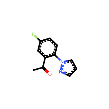 CC(=O)c1cc(F)ccc1-n1cccn1